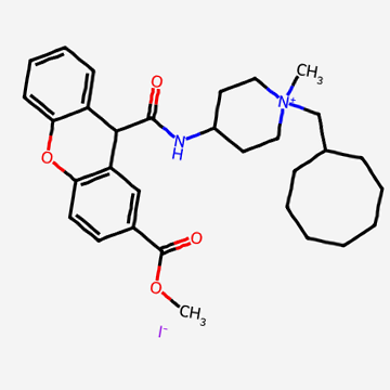 COC(=O)c1ccc2c(c1)C(C(=O)NC1CC[N+](C)(CC3CCCCCCC3)CC1)c1ccccc1O2.[I-]